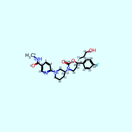 CNC(=O)c1ccc(N2CCC[C@H](N3CC[C@](CCCO)(c4ccc(F)cc4)OC3=O)C2)nc1